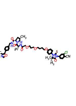 Cc1ncoc1-c1ccc(CNC(=O)[C@@H]2C[C@@H](C)CN2C(=O)[C@@H](NC(=O)COCCCOCCCCOc2ccc(N3C(=S)N(c4ccc(C#N)c(Cl)c4)C(=O)C3(C)C)cc2)C(C)C)cc1